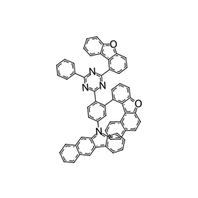 c1ccc(-c2nc(-c3ccc(-n4c5ccccc5c5cc6ccccc6cc54)cc3-c3cccc4oc5ccc6ccccc6c5c34)nc(-c3cccc4oc5ccccc5c34)n2)cc1